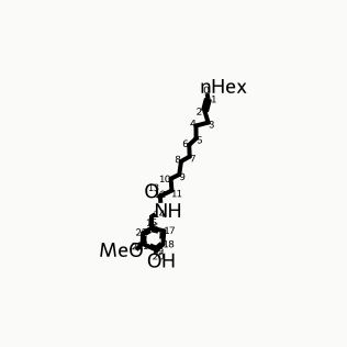 CCCCCCC#CCCCCCCCCCC(=O)NCc1ccc(O)c(OC)c1